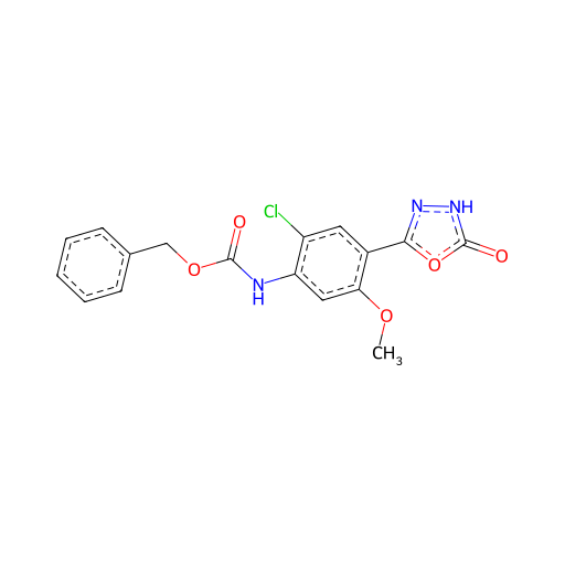 COc1cc(NC(=O)OCc2ccccc2)c(Cl)cc1-c1n[nH]c(=O)o1